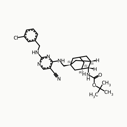 CC(C)(C)OC(=O)N[C@@H]1[C@@H]2CC3C[C@H]1C[C@@](CNc1nc(NCc4cccc(Cl)c4)ncc1C#N)(C3)C2